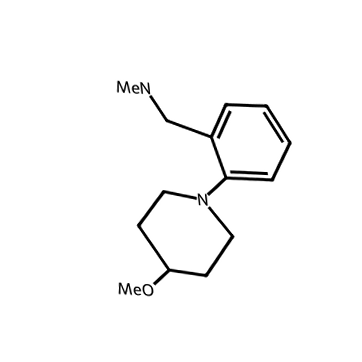 CNCc1ccccc1N1CCC(OC)CC1